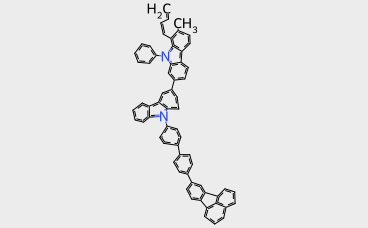 C=C/C=C\c1c(C)ccc2c3ccc(-c4ccc5c(c4)c4ccccc4n5-c4ccc(-c5ccc(-c6ccc7c(c6)-c6cccc8cccc-7c68)cc5)cc4)cc3n(-c3ccccc3)c12